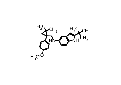 COc1ccc(C2(CNc3ccc4[nH]c(C(C)(C)C)cc4c3)CC2(C)C)cc1